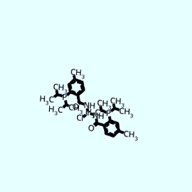 Cc1ccc(C(=O)[NH][Ir]([Cl])[NH]C(=O)c2ccc(C)cc2P(C(C)C)C(C)C)c(P(C(C)C)C(C)C)c1